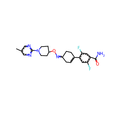 Cc1cnc(N2CCC(ON=C3CC=C(c4cc(F)c(C(N)=O)cc4F)CC3)CC2)nc1